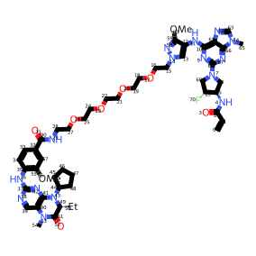 C=CC(=O)N[C@@H]1CN(c2nc(Nc3cn(CCOCCOCCOCCOCCNC(=O)c4ccc(Nc5ncc6c(n5)N(C5CCCC5)[C@H](CC)C(=O)N6C)c(OC)c4)nc3OC)c3ncn(C)c3n2)C[C@H]1F